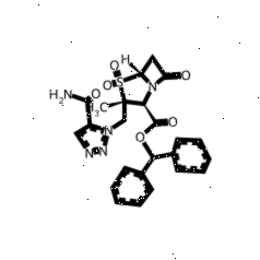 C[C@]1(Cn2nncc2C(N)=O)[C@H](C(=O)OC(c2ccccc2)c2ccccc2)N2C(=O)C[C@H]2S1(=O)=O